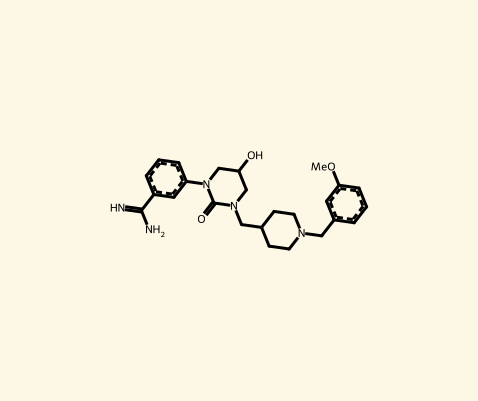 COc1cccc(CN2CCC(CN3CC(O)CN(c4cccc(C(=N)N)c4)C3=O)CC2)c1